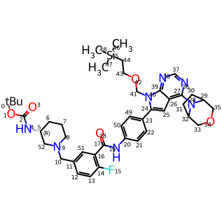 CC(C)(C)OC(=O)N[C@@H]1CCCN(Cc2ccc(F)c(C(=O)Nc3ccc(-c4cc5c(N6C7CCC6COC7)ncnc5n4COCC[Si](C)(C)C)cc3)c2)C1